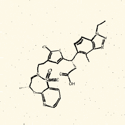 CCn1nnc2c(C)c([C@H](CC(=O)O)c3cc(CN4C[C@@H](C)Oc5ncccc5S4(=O)=O)c(Cl)s3)ccc21